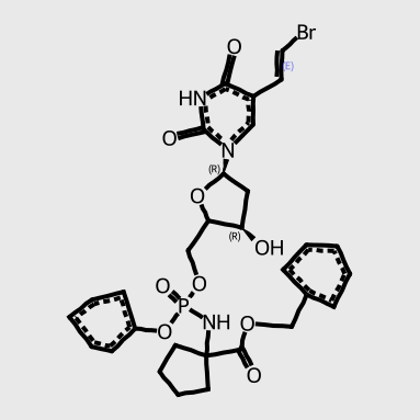 O=C(OCc1ccccc1)C1(NP(=O)(OCC2O[C@@H](n3cc(/C=C/Br)c(=O)[nH]c3=O)C[C@H]2O)Oc2ccccc2)CCCC1